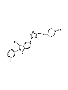 CCc1c(-c2ccnc(C)c2)[nH]c2ccc(-c3noc(CCC4CCN(C(C)C)CC4)n3)cc12